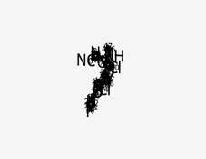 N#Cc1cncc(COc2cc(O[C@H]3CCc4c(-c5cccc(OCCCN6CCC(F)CC6)c5Cl)cccc43)c(Cl)cc2CNC2CCC2)c1